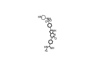 N=C(NC1CC1)c1ccc(-n2cc3cc(-c4ccc(S(=O)(=O)NC5CCNCC5)cc4)[nH]c3nc2=O)cc1